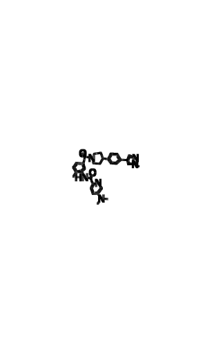 Cc1ccc(C(=O)N2CCC(c3ccc(-c4cnn(C)c4)cc3)CC2)cc1NC(=O)c1ccc(N(C)C)cn1